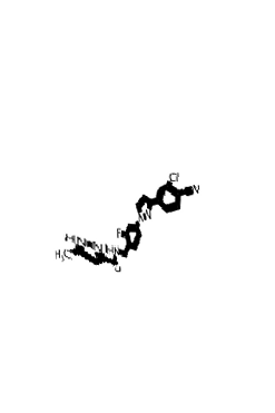 Cc1cc(C(=O)NCc2ccc(-n3ccc(-c4ccc(C#N)c(Cl)c4)n3)cc2F)n[nH]1